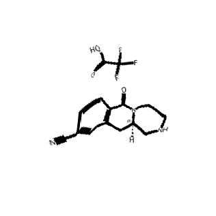 N#Cc1ccc2c(c1)C[C@@H]1CNCCN1C2=O.O=C(O)C(F)(F)F